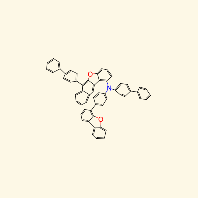 c1ccc(-c2ccc(-c3c4ccccc4cc4c3oc3cccc(N(c5ccc(-c6ccccc6)cc5)c5ccc(-c6cccc7c6oc6ccccc67)cc5)c34)cc2)cc1